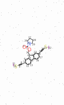 O=C(OCC1c2cc(C#CSI)ccc2-c2ccc(C#CSI)cc21)N1CCCC1